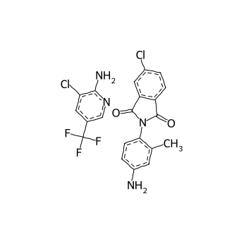 Cc1cc(N)ccc1N1C(=O)c2ccc(Cl)cc2C1=O.Nc1ncc(C(F)(F)F)cc1Cl